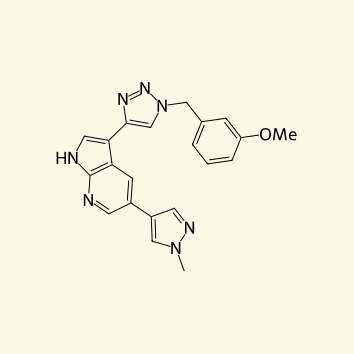 COc1cccc(Cn2cc(-c3c[nH]c4ncc(-c5cnn(C)c5)cc34)nn2)c1